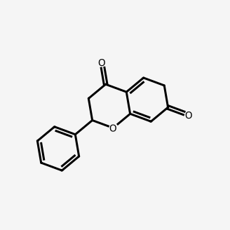 O=C1C=C2OC(c3ccccc3)CC(=O)C2=CC1